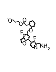 COCCCOC(=O)Cc1ccccc1OCc1cc(-c2ccnc(CN)c2F)c2occc2c1F